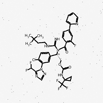 CC(C)(C)CCNC(=N)N(C(=O)c1ccc(-c2ccccn2)cc1F)[C@H](COC(=O)NC1(C(F)(F)F)CC1)c1ccc(Cl)c(-n2ncnc2C(F)F)c1